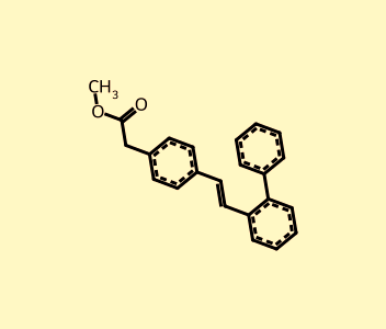 COC(=O)Cc1ccc(C=Cc2ccccc2-c2ccccc2)cc1